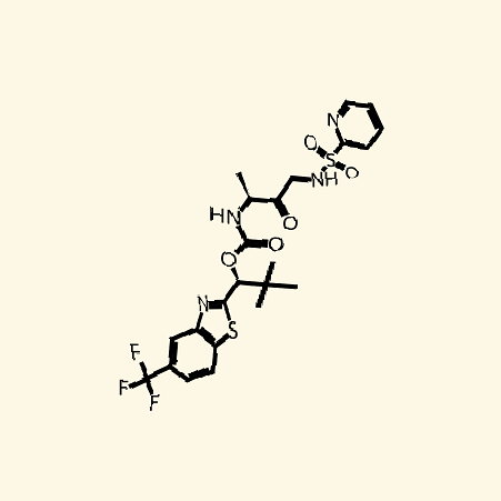 C[C@H](NC(=O)O[C@H](c1nc2cc(C(F)(F)F)ccc2s1)C(C)(C)C)C(=O)CNS(=O)(=O)c1ccccn1